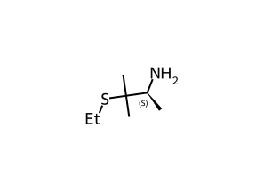 CCSC(C)(C)[C@H](C)N